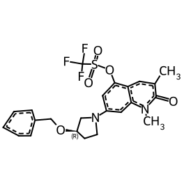 Cc1cc2c(OS(=O)(=O)C(F)(F)F)cc(N3CC[C@@H](OCc4ccccc4)C3)cc2n(C)c1=O